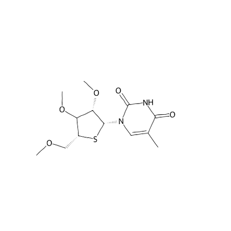 COC[C@H]1S[C@@H](n2cc(C)c(=O)[nH]c2=O)[C@@H](OC)C1OC